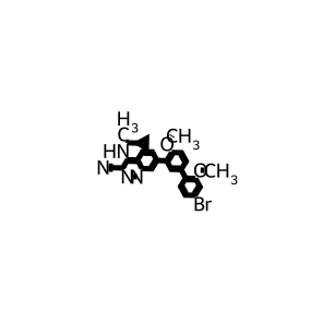 COc1cc(Br)ccc1-c1ccc(OC)c(-c2ccc3c(N[C@H](C)C4CC4)c(C#N)nnc3c2)c1